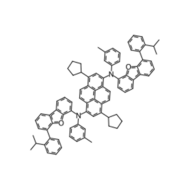 Cc1cccc(N(c2cc(C3CCCC3)c3ccc4c(N(c5cccc(C)c5)c5cccc6c5oc5c(-c7ccccc7C(C)C)cccc56)cc(C5CCCC5)c5ccc2c3c54)c2cccc3c2oc2c(-c4ccccc4C(C)C)cccc23)c1